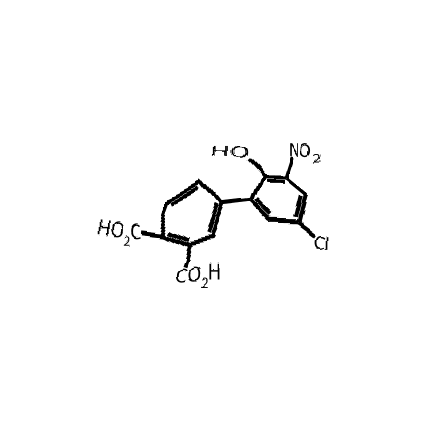 O=C(O)c1ccc(-c2cc(Cl)cc([N+](=O)[O-])c2O)cc1C(=O)O